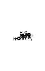 Cc1c(-c2ccnc(Nc3ccc(C#N)cc3)n2)c(C)n2c1C(=O)NCC2